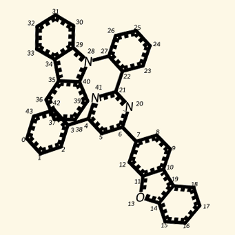 c1ccc(-c2cc(-c3ccc4c(c3)oc3ccccc34)nc(-c3ccccc3-n3c4ccccc4c4ccccc43)n2)cc1